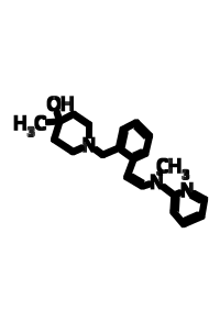 CN(/C=C\c1ccccc1CN1CCC(C)(O)CC1)c1ccccn1